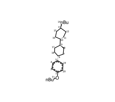 CCCCOc1ccc([C@H]2CC[C@H]([C@H]3CC[C@H](CCCC)CC3)CC2)cc1